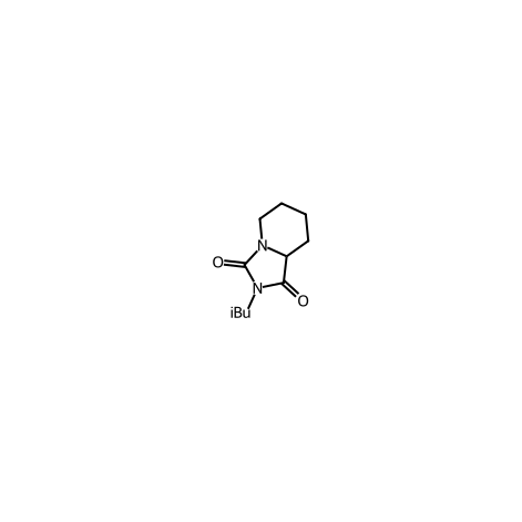 CCC(C)N1C(=O)C2CCCCN2C1=O